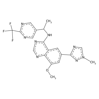 COc1cc(-c2ncn(C)n2)cc2c(NC(C)c3cnc(C(F)(F)F)nc3)ncnc12